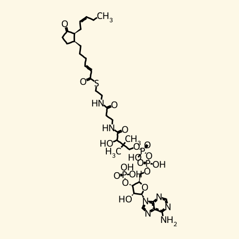 CC/C=C\C[C@@H]1C(=O)CC[C@@H]1CCC/C=C/C(=O)SCCNC(=O)CCNC(=O)C(O)C(C)(C)COP(=O)(O)OP(=O)(O)OC[C@H]1O[C@@H](n2cnc3c(N)ncnc32)[C@H](O)[C@@H]1OP(=O)(O)O